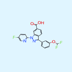 O=C(O)c1ccc2c(-c3cccc(OC(F)F)c3)nn(-c3ccc(F)cn3)c2c1